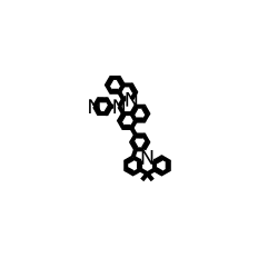 CC1(C)c2ccccc2-n2c3ccc(-c4ccc(N(c5ccncc5)c5nccc6ccccc56)c5ccccc45)cc3c3cccc1c32